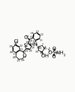 NS(=O)(=O)OC[C@H]1C[C@@H](Nc2ccccc2C(=O)c2ccc(C3OCCCc4ccc(Cl)cc43)s2)C[C@@H]1O